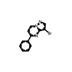 Brc1cnn2ccc(-c3ccccc3)nc12